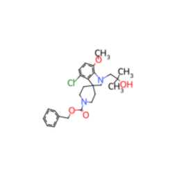 COc1ccc(Cl)c2c1N(CC(C)(C)O)CC21CCN(C(=O)OCc2ccccc2)CC1